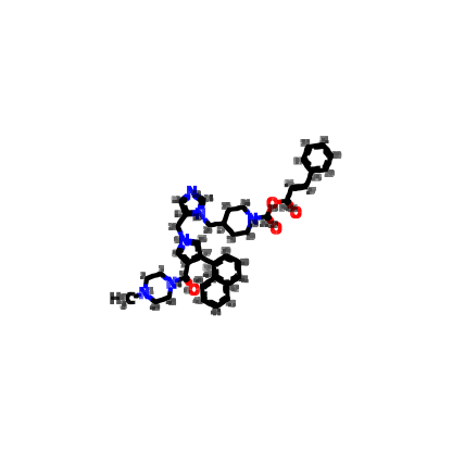 CN1CCN(C(=O)c2cn(Cc3cncn3CC3CCN(C(=O)OC(=O)C=Cc4ccccc4)CC3)cc2-c2cccc3ccccc23)CC1